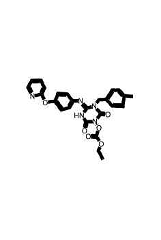 CCOC(=O)On1c(=O)[nH]/c(=N\c2ccc(Oc3ccccn3)cc2)n(Cc2ccc(C)cc2)c1=O